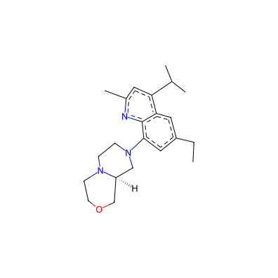 CCc1cc(N2CCN3CCOC[C@@H]3C2)c2nc(C)cc(C(C)C)c2c1